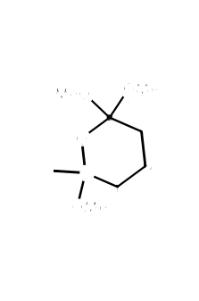 COC1(OC)CCC[Si](Cl)(OC)O1